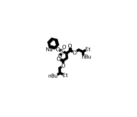 CCCCC(CC)COC(=O)CC(C(=O)OCC(CC)CCCC)S(=O)(=O)[O-].[Na+].c1ccccc1